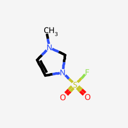 CN1C=CN(S(=O)(=O)F)C1